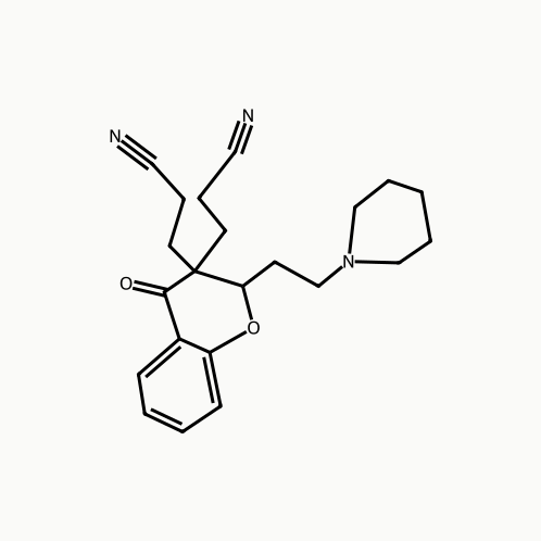 N#CCCC1(CCC#N)C(=O)c2ccccc2OC1CCN1CCCCC1